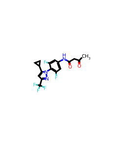 CC(=O)CC(=O)Nc1cc(F)c(-n2nc(C(F)(F)F)cc2C2CC2)c(F)c1